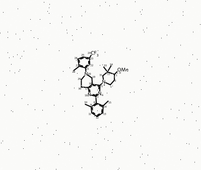 COC1CCN(c2nc(-c3c(C)cccc3C)nc3c2CN(c2cc(C(F)(F)F)ccc2C)CC3)CC1(C)C